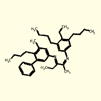 CCCCc1cc(N=C(C)C(CC)=Nc2cc(C)c(CCCC)c(-c3ccccc3)c2)cc(CCCC)c1CC